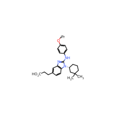 CC(C)Oc1ccc(Nc2nc3cc(CCC(=O)O)ccc3n2[C@@H]2CCCC(C)(C)C2)cc1